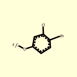 CC(C)c1ccc(OC(F)(F)F)cc1Cl